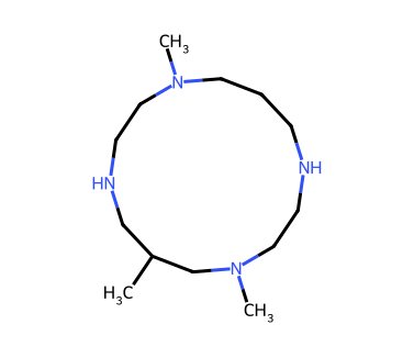 CC1CNCCN(C)CCCNCCN(C)C1